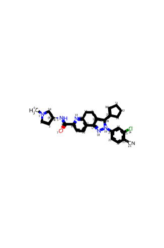 CN1CC[C@@H](NC(=O)c2ccc3c(n2)CCC2C3=NN(c3ccc(C#N)c(Cl)c3)C2C2CCCC2)C1